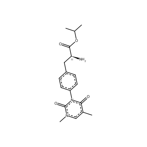 Cc1cn(C)c(=O)n(-c2ccc(C[C@H](N)C(=O)OC(C)C)cc2)c1=O